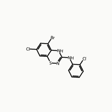 Clc1cc(Br)c2c(c1)SN=C(Nc1ccccc1Cl)N2